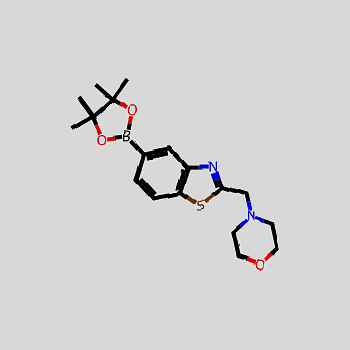 CC1(C)OB(c2ccc3sc(CN4CCOCC4)nc3c2)OC1(C)C